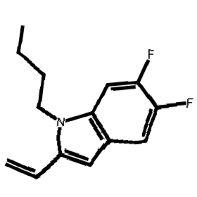 C=Cc1cc2cc(F)c(F)cc2n1CCCC